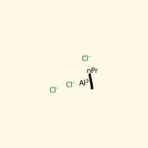 CCCC.[Al+3].[Cl-].[Cl-].[Cl-]